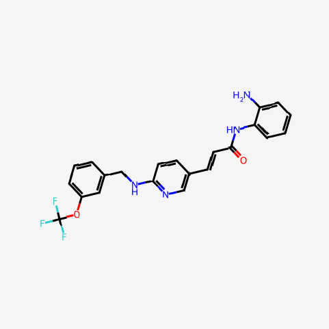 Nc1ccccc1NC(=O)/C=C/c1ccc(NCc2cccc(OC(F)(F)F)c2)nc1